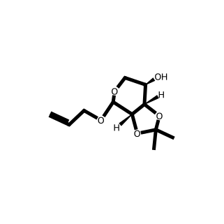 C=CCOC1OC[C@@H](O)[C@@H]2OC(C)(C)O[C@H]12